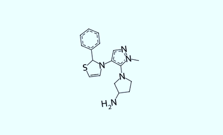 Cn1ncc(N2C=CSC2c2ccccc2)c1N1CCC(N)C1